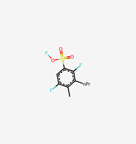 CCCc1c(C)c(F)cc(S(=O)(=O)OF)c1F